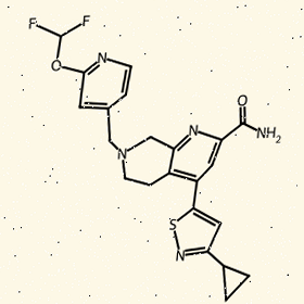 NC(=O)c1cc(-c2cc(C3CC3)ns2)c2c(n1)CN(Cc1ccnc(OC(F)F)c1)CC2